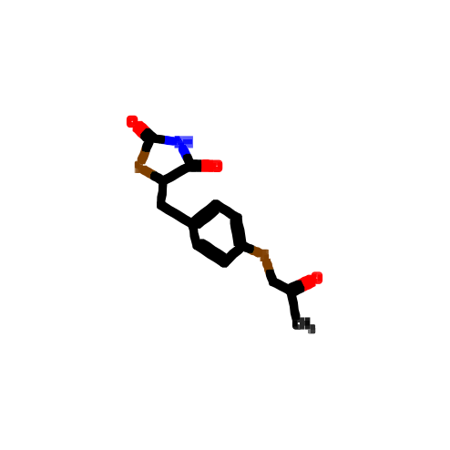 CC(=O)CSc1ccc(CC2SC(=O)NC2=O)cc1